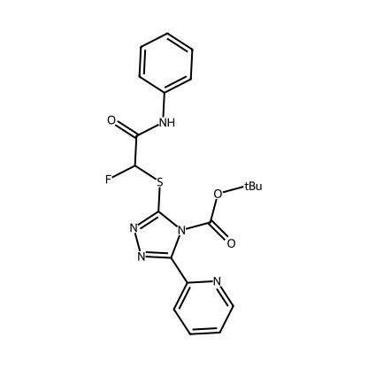 CC(C)(C)OC(=O)n1c(SC(F)C(=O)Nc2ccccc2)nnc1-c1ccccn1